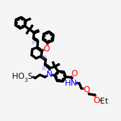 C=C(/C=C/C1=C(Oc2ccccc2)C(=C/C=C2/N(CCCS(=O)(=O)O)c3ccc(C(=O)NCCOCCOCC)cc3C2(C)C)/CCC1)C(C)(C)c1ccccc1C